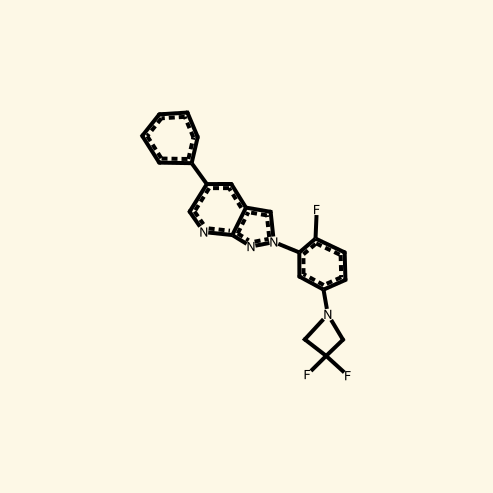 Fc1ccc(N2CC(F)(F)C2)cc1-n1cc2cc(-c3ccccc3)cnc2n1